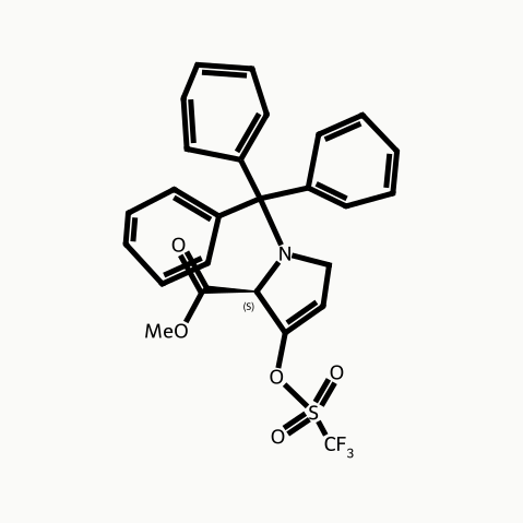 COC(=O)[C@@H]1C(OS(=O)(=O)C(F)(F)F)=CCN1C(c1ccccc1)(c1ccccc1)c1ccccc1